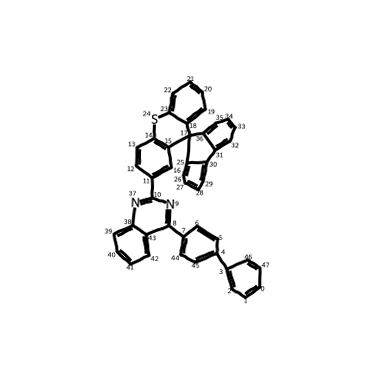 c1ccc(-c2ccc(-c3nc(-c4ccc5c(c4)C4(c6ccccc6S5)c5ccccc5-c5ccccc54)nc4ccccc34)cc2)cc1